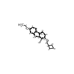 CCOc1ccc2c(c1)sc1c(F)c(OCC3CCC3)ccc12